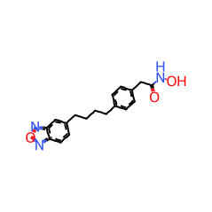 O=C(Cc1ccc(CCCCc2ccc3nonc3c2)cc1)NO